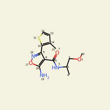 COCC(C)NC(=O)c1c(-c2sccc2C)noc1N